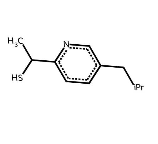 CC(C)Cc1ccc(C(C)S)nc1